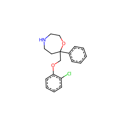 Clc1ccccc1OCC1(c2ccccc2)CCNCCO1